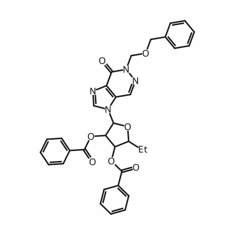 CCC1OC(n2cnc3c(=O)n(COCc4ccccc4)ncc32)C(OC(=O)c2ccccc2)C1OC(=O)c1ccccc1